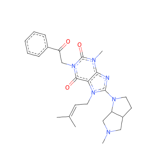 CC(C)=CCn1c(N2CCC3CN(C)CC32)nc2c1c(=O)n(CC(=O)c1ccccc1)c(=O)n2C